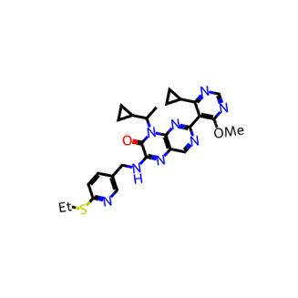 CCSc1ccc(CNc2nc3cnc(-c4c(OC)ncnc4C4CC4)nc3n(C(C)C3CC3)c2=O)cn1